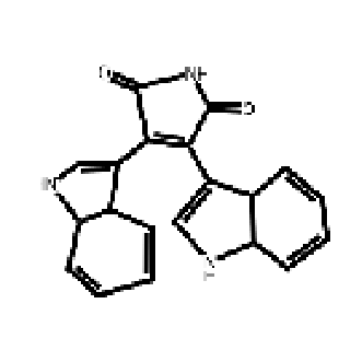 O=C1NC(=O)C(C2=CNC3C=CC=CC23)=C1C1=CNC2C=CC=CC12